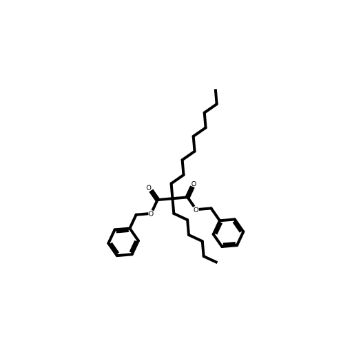 CCCCCCCCCC(CCCCCC)(C(=O)OCc1ccccc1)C(=O)OCc1ccccc1